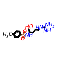 Cc1ccc(S(=O)(=O)NC(CO)CCCNC(=N)N)cc1